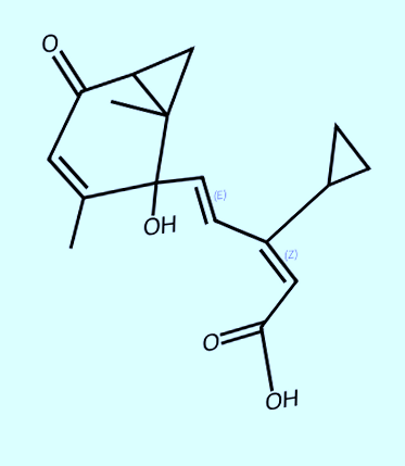 CC1=CC(=O)C2CC2(C)C1(O)/C=C/C(=C\C(=O)O)C1CC1